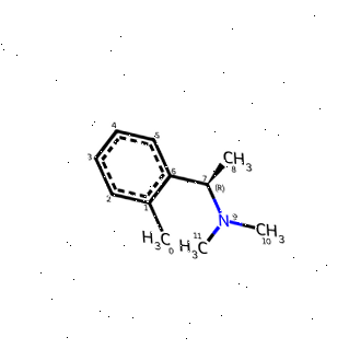 Cc1ccccc1[C@@H](C)N(C)C